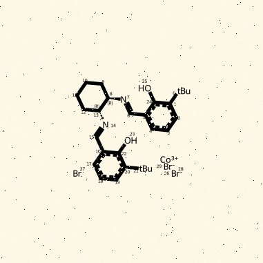 CC(C)(C)c1cccc(C=N[C@@H]2CCCC[C@H]2N=Cc2cccc(C(C)(C)C)c2O)c1O.[Br-].[Br-].[Br-].[Co+3]